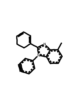 Cc1cccc2c1nc(C1=CC=CCC1)n2-c1cc#ccc1